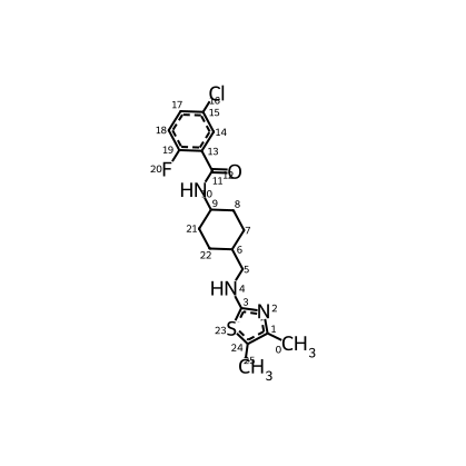 Cc1nc(NCC2CCC(NC(=O)c3cc(Cl)ccc3F)CC2)sc1C